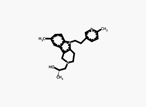 Cc1ccc2c(c1)c1c(n2CCc2ccc(C)nc2)CCN(C[C@H](C)O)C1